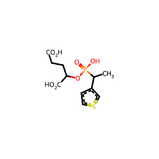 CC(c1ccsc1)P(=O)(O)OC(CCC(=O)O)C(=O)O